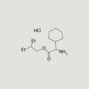 CCC(CC)COC(=O)C(N)C1CCCCC1.Cl